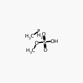 COS(=O)(=O)O.CP